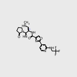 CN/C=C(/NC(=O)c1coc(-c2ccnc(NCC(F)(F)F)c2)n1)C(=N)N1CCCC1=O